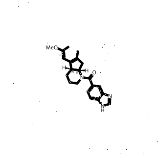 CO/C(C)=C/C1=C(C)C[C@H]2[C@@H]1CCCN2C(=O)c1ccc2[nH]cnc2c1